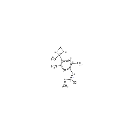 C=C/C(Cl)=C\c1cc(N)c(C2(O)CCC2)nc1C